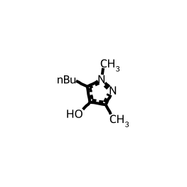 CCCCc1c(O)c(C)nn1C